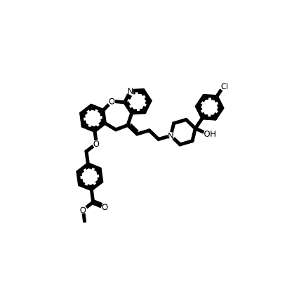 COC(=O)c1ccc(COc2cccc3c2C/C(=C/CCN2CCC(O)(c4ccc(Cl)cc4)CC2)c2cccnc2O3)cc1